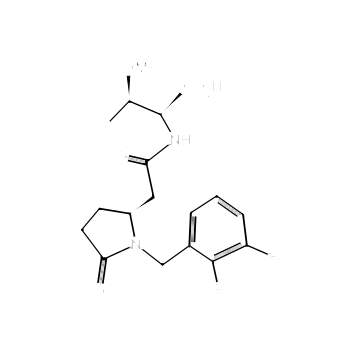 CO[C@H](C)[C@H](NC(=O)C[C@@H]1CCC(=O)N1Cc1cccc(F)c1F)C(=O)O